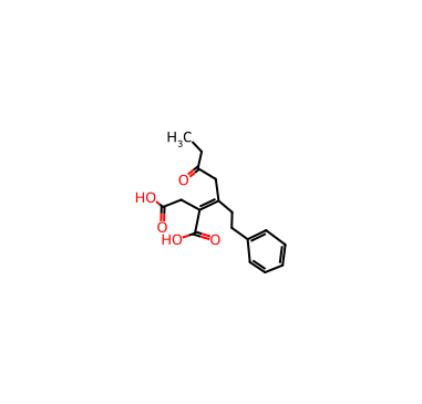 CCC(=O)CC(CCc1ccccc1)=C(CC(=O)O)C(=O)O